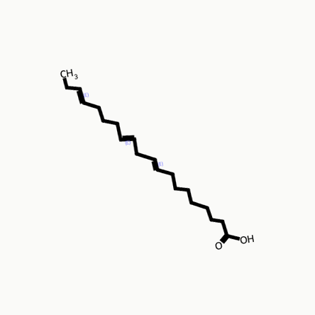 CC/C=C/CCC/C=C/C/C=C/CCCCCCCC(=O)O